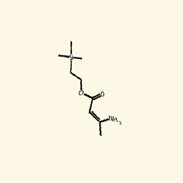 C/C(N)=C/C(=O)OCC[Si](C)(C)C